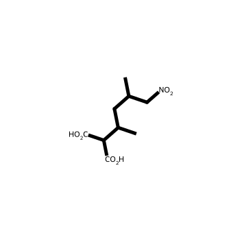 CC(CC(C)C(C(=O)O)C(=O)O)C[N+](=O)[O-]